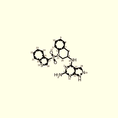 Nc1nc(NC2Cc3ccccc3N(S(=O)(=O)c3csc4ccccc34)C2)c2cn[nH]c2n1